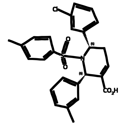 Cc1ccc(S(=O)(=O)N2[C@@H](c3cccc(C)c3)C(C(=O)O)=CC[C@H]2c2cccc(Cl)c2)cc1